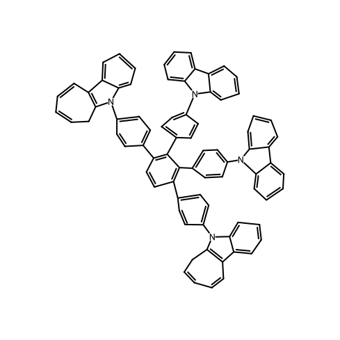 C1=CCc2c(c3ccccc3n2-c2ccc(-c3ccc(-c4ccc(-n5c6c(c7ccccc75)C=CC=CC6)cc4)c(-c4ccc(-n5c6ccccc6c6ccccc65)cc4)c3-c3ccc(-n4c5ccccc5c5ccccc54)cc3)cc2)C=C1